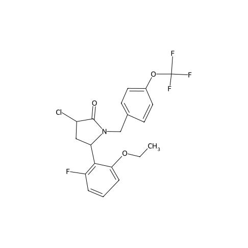 CCOc1cccc(F)c1C1CC(Cl)C(=O)N1Cc1ccc(OC(F)(F)F)cc1